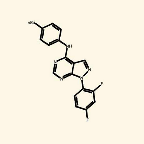 CCCCc1ccc(Nc2ncnc3c2cnn3-c2ccc(F)cc2F)cc1